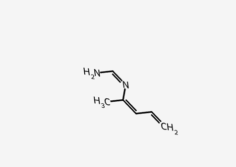 C=C/C=C(C)\N=C/N